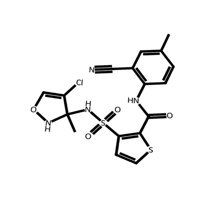 Cc1ccc(NC(=O)c2sccc2S(=O)(=O)NC2(C)NOC=C2Cl)c(C#N)c1